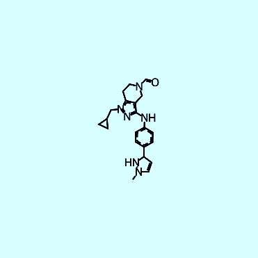 CN1C=CC(c2ccc(Nc3nn(CC4CC4)c4c3CN(C=O)CC4)cc2)N1